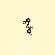 Clc1ccccc1C/C=N\Nc1ccc(Br)cc1